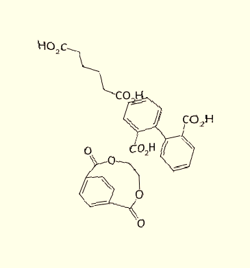 O=C(O)CCCCC(=O)O.O=C(O)c1ccccc1-c1ccccc1C(=O)O.O=C1OCCOC(=O)c2ccc1cc2